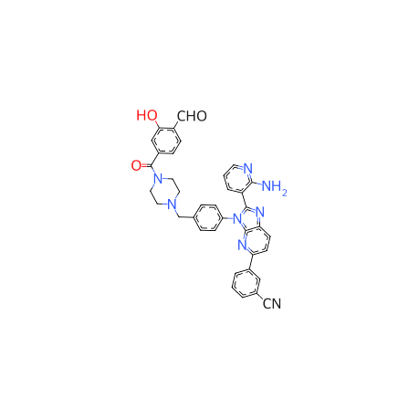 N#Cc1cccc(-c2ccc3nc(-c4cccnc4N)n(-c4ccc(CN5CCN(C(=O)c6ccc(C=O)c(O)c6)CC5)cc4)c3n2)c1